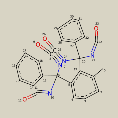 Cc1cccc(C(N=C=O)(N=C=O)c2ccccc2)c1C(N=C=O)(N=C=O)c1ccccc1